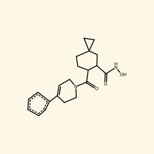 O=C(NO)C1CC2(CCC1C(=O)N1CC=C(c3ccccc3)CC1)CC2